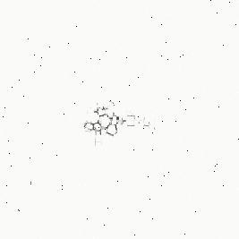 CN(C)CCN1CCC(n2nc(C3=C(c4c[nH]c5sccc45)C(=O)NC3=O)c3ccccc32)CC1